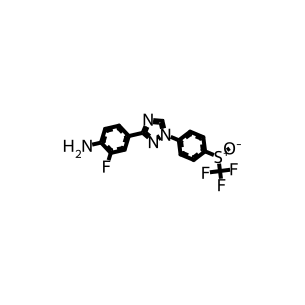 Nc1ccc(-c2ncn(-c3ccc([S+]([O-])C(F)(F)F)cc3)n2)cc1F